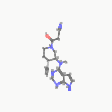 C#C[C@@H]1CCN(C(=O)CC#N)CC1N(C)c1ncnc2[nH]ccc12